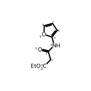 CCOC(=O)CC(=O)Nc1ccco1